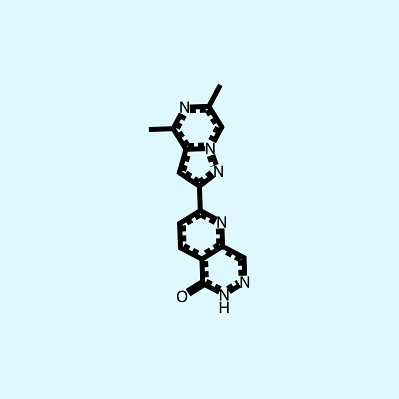 Cc1cn2nc(-c3ccc4c(=O)[nH]ncc4n3)cc2c(C)n1